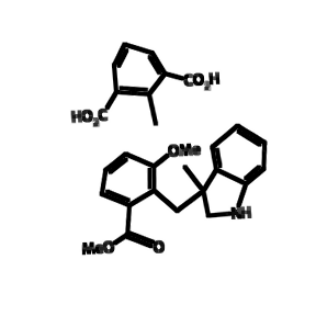 COC(=O)c1cccc(OC)c1CC1(C)CNc2ccccc21.Cc1c(C(=O)O)cccc1C(=O)O